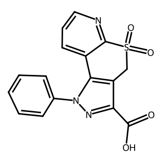 O=C(O)c1nn(-c2ccccc2)c2c1CS(=O)(=O)c1ncccc1-2